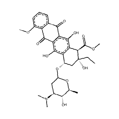 CC[C@@]1(O)C[C@H](OC2C[C@H](N(C)C)[C@@H](O)[C@H](C)O2)c2c(O)c3c(c(O)c2[C@H]1C(=O)OC)C(=O)c1cccc(OC)c1C3=O